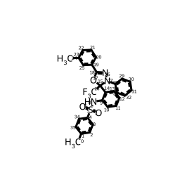 Cc1ccc(S(=O)(=O)Nc2ccccc2C2(C(F)(F)F)OC(c3cccc(C)c3)=NN2c2ccccc2)cc1